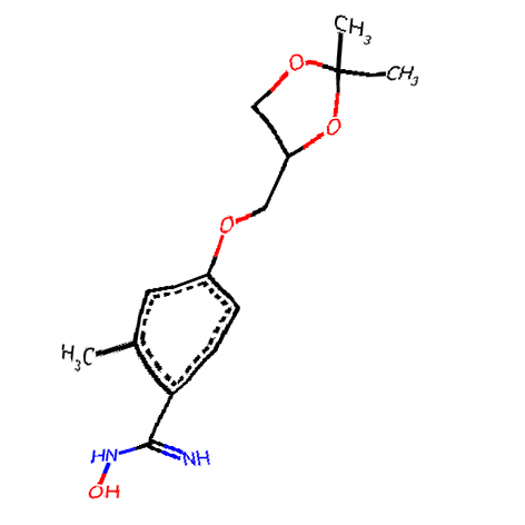 Cc1cc(OCC2COC(C)(C)O2)ccc1C(=N)NO